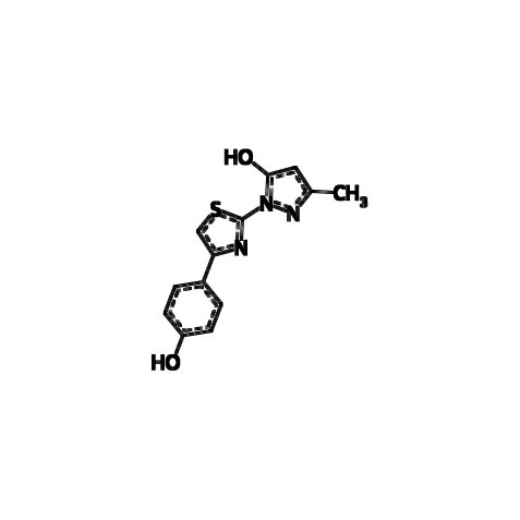 Cc1cc(O)n(-c2nc(-c3ccc(O)cc3)cs2)n1